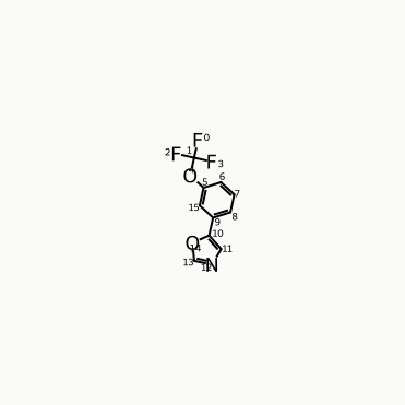 FC(F)(F)Oc1cccc(-c2cnco2)c1